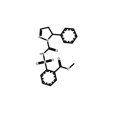 COC(=O)c1ccccc1S(=O)(=O)NC(=O)N1N=CCC1c1ccccc1